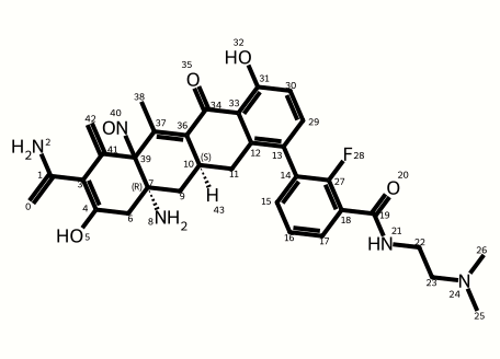 C=C(N)C1=C(O)C[C@]2(N)C[C@@H]3Cc4c(-c5cccc(C(=O)NCCN(C)C)c5F)ccc(O)c4C(=O)C3=C(C)C2(N=O)C1=C